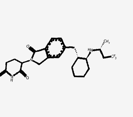 C[C@H](CC(F)(F)F)N[C@H]1CCCC[C@@H]1Cc1ccc2c(c1)CN(C1CCC(=O)NC1=O)C2=O